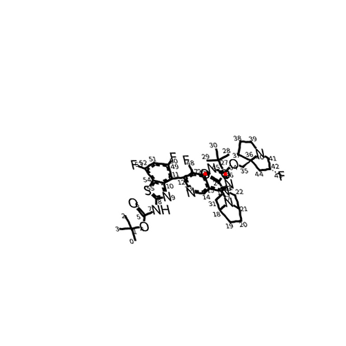 CC(C)(C)OC(=O)Nc1nc2c(-c3ncc4c(N5C6CCC5CN(C(=O)OC(C)(C)C)C6)nc(OC[C@@]56CCCN5C[C@H](F)C6)nc4c3F)c(F)cc(F)c2s1